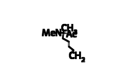 C=CCCC[C@@](C)(NC)C(C)=O